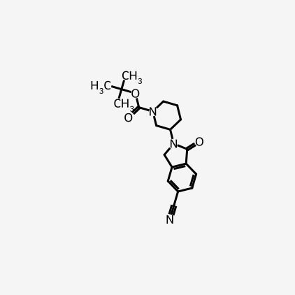 CC(C)(C)OC(=O)N1CCCC(N2Cc3cc(C#N)ccc3C2=O)C1